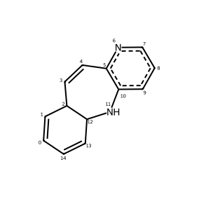 C1=CC2C=Cc3ncccc3NC2C=C1